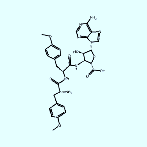 COc1ccc(C[C@H](NC(=O)[C@@H](N)Cc2ccc(OC)cc2)C(=O)N[C@H]2[C@@H](O)[C@H](n3cnc4c(N)ncnc43)O[C@@H]2C(=O)O)cc1